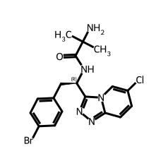 CC(C)(N)C(=O)N[C@H](Cc1ccc(Br)cc1)c1nnc2ccc(Cl)cn12